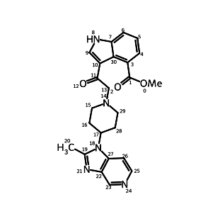 COC(=O)c1cccc2[nH]cc(C(=O)CN3CCC(n4c(C)nc5cnccc54)CC3)c12